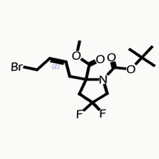 COC(=O)C1(C/C=C\CBr)CC(F)(F)CN1C(=O)OC(C)(C)C